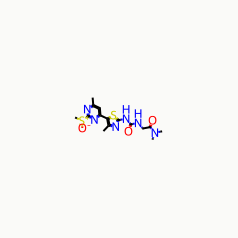 Cc1cc(-c2sc(NC(=O)NCC(=O)N(C)C)nc2C)nc([S+](C)[O-])n1